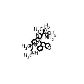 CNCCN(C)c1ccc2c3ncc(/C(=C(\C)N)N(C)N)cc3n(C(CC3CCOCC3)c3ccccc3F)c2n1